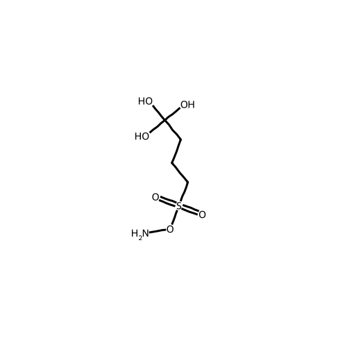 NOS(=O)(=O)CCCC(O)(O)O